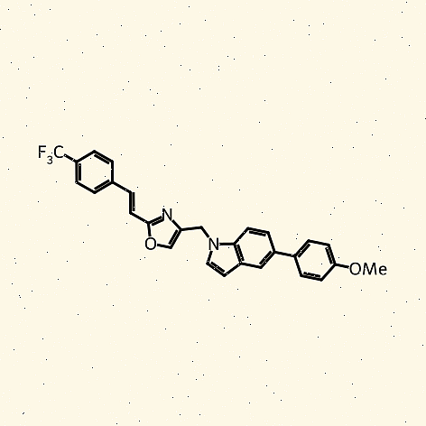 COc1ccc(-c2ccc3c(ccn3Cc3coc(C=Cc4ccc(C(F)(F)F)cc4)n3)c2)cc1